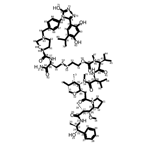 CC[C@H](C)[C@@H]([C@@H](CC(=O)N1CCC[C@H]1[C@H](OC)[C@@H](C)C(=O)N[C@H](C)[C@@H](O)c1ccccc1)OC)N(C)C(=O)[C@@H](NC(=O)[C@H](C(C)C)N(C)C(=O)OCCSSC[C@H](NC(=O)N1CCN(Cc2ccc(-n3c(O)nnc3-c3cc(C(C)C)c(O)cc3O)cc2)CC1)C(N)=O)C(C)C